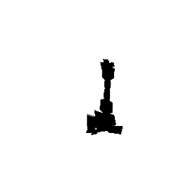 C[C@@H](O)[C@H](NC(=O)c1ccc(C#CC#Cc2ccc(C(F)(F)F)cc2)cc1)C(=O)NO